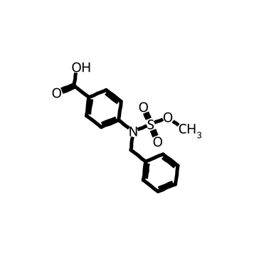 COS(=O)(=O)N(Cc1ccccc1)c1ccc(C(=O)O)cc1